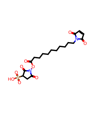 O=C(CCCCCCCCCCN1C(=O)C=CC1=O)ON1C(=O)CC(S(=O)(=O)O)C1=O